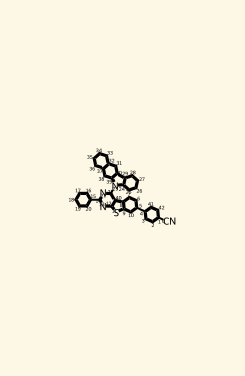 N#Cc1ccc(-c2ccc3c(c2)sc2nc(-c4ccccc4)nc(-n4c5ccccc5c5cc6ccccc6cc54)c23)cc1